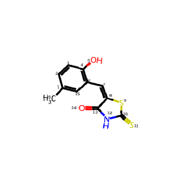 Cc1ccc(O)c(C=C2SC(=S)NC2=O)c1